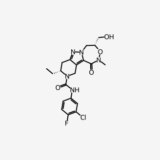 CC[C@@H]1Cc2nn3c(c2CN1C(=O)Nc1ccc(F)c(Cl)c1)C(=O)N(C)O[C@@H](CO)C3